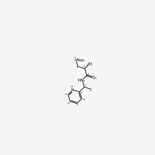 CCCCCCCCCCC(CC)C(=O)NC(C)c1ccccn1